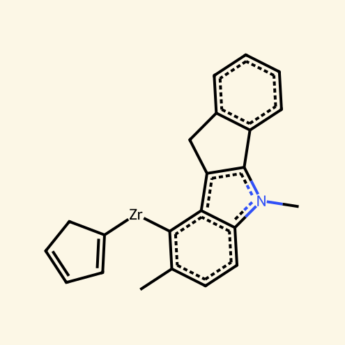 Cc1ccc2c(c3c(n2C)-c2ccccc2C3)[c]1[Zr][C]1=CC=CC1